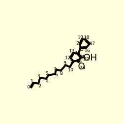 C=CCCCCCCCCCC1C=CC(c2ccccc2)=C(O)C1=O